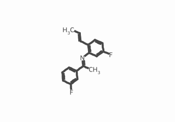 C/C=C/c1ccc(F)cc1/N=C(\C)c1cccc(F)c1